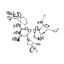 CC(C)[C@@H]1[C@@H](C(=O)N[C@H](CCC2CC2)C(=O)C(=O)NC2CC2)N(C(=O)C(NC(=O)NC2(CS(=O)(=O)C(C)(C)C)CCCCC2)C(C)(C)C)C[C@@H]1C